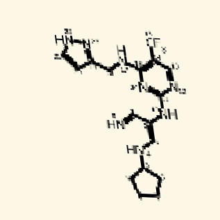 N=C/C(=C\NC1CCCC1)Nc1ncc(C(F)(F)F)c(NCc2cc[nH]n2)n1